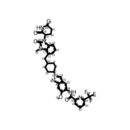 COc1cc2nn(C3CCC(Cc4cccc5c4n(C)c(=O)n5C4CCC(=O)NC4=O)CC3)cc2cc1NC(=O)c1cccc(C(F)(F)F)n1